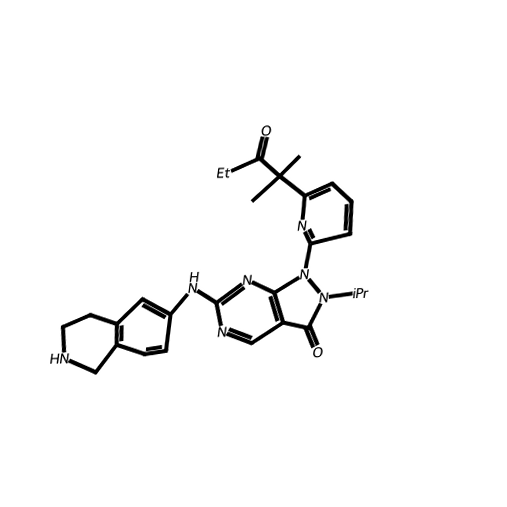 CCC(=O)C(C)(C)c1cccc(-n2c3nc(Nc4ccc5c(c4)CCNC5)ncc3c(=O)n2C(C)C)n1